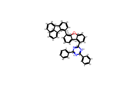 c1ccc(-c2nc(-c3ccccc3)nc(-c3cccc4oc5c(-c6cccc7c6-c6cccc8cccc-7c68)cccc5c34)n2)cc1